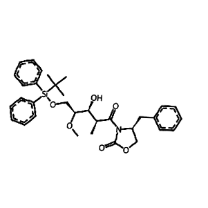 CO[C@@H](CO[Si](c1ccccc1)(c1ccccc1)C(C)(C)C)[C@@H](O)[C@H](C)C(=O)N1C(=O)OC[C@@H]1Cc1ccccc1